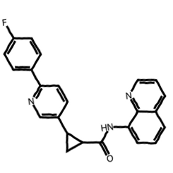 O=C(Nc1cccc2cccnc12)C1CC1c1ccc(-c2ccc(F)cc2)nc1